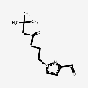 CC(C)(C)OC(=O)NCCn1ccc(C=O)n1